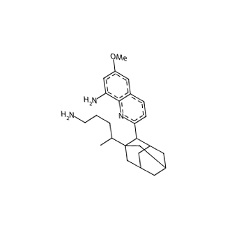 COc1cc(N)c2nc(C3C4CC5CC(C4)CC3(C(C)CCCN)C5)ccc2c1